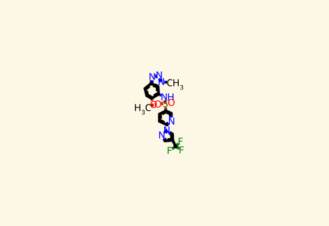 COc1ccc2nnn(C)c2c1NS(=O)(=O)c1ccc(-n2cc(C(F)(F)F)cn2)nc1